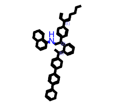 C=C/C(=C\CCCC)C1C=CC(/C(CNC2=C3C=CCCC3CC=C2)=c2\cccc\c2=C(\C)C2=CC=C(c3ccc(C4=CC=CCC4)cc3)CC2)=CC1